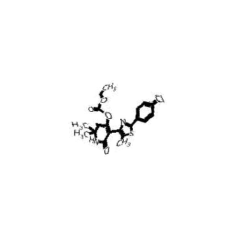 CCOC(=O)OC1=C(c2nc(-c3ccc(Cl)cc3)sc2C)C(=O)NC(C)(C)C1